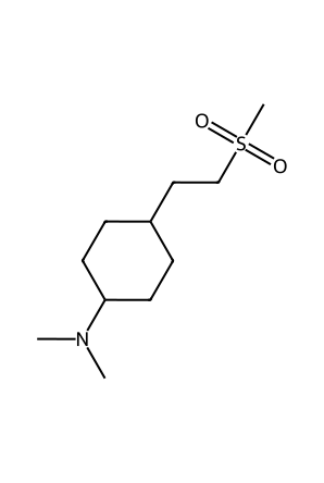 CN(C)C1CCC(CCS(C)(=O)=O)CC1